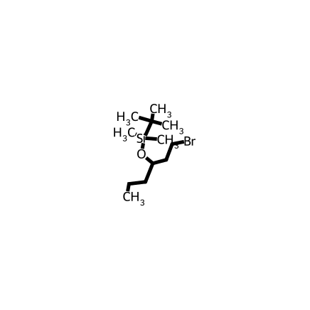 CCCC(CCBr)O[Si](C)(C)C(C)(C)C